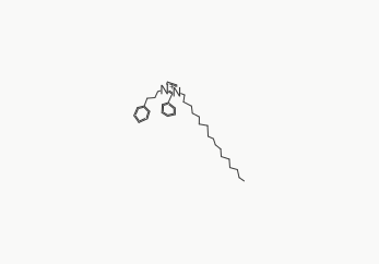 CCCCCCCCCCCCCCCCCn1cc[n+](CCCc2ccccc2)c1-c1ccccc1